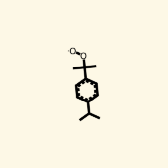 CC(C)c1ccc(C(C)(C)O[O])cc1